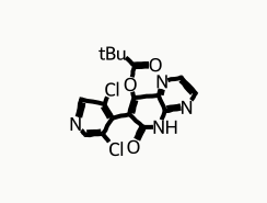 CC(C)(C)C(=O)Oc1c(-c2c(Cl)cncc2Cl)c(=O)[nH]c2nccnc12